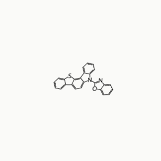 c1ccc2oc(-n3c4ccccc4c4c5sc6ccccc6c5ccc43)nc2c1